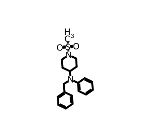 CS(=O)(=O)N1CCC(N(Cc2ccccc2)c2ccccc2)CC1